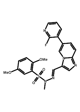 COc1ccc(OC)c(S(=O)(=O)N(C)N=Cc2cnc3ccc(-c4cccnc4F)cn23)c1